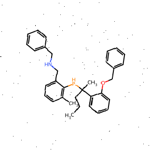 CCCC(C)(Pc1c(C)cccc1CNCc1ccccc1)c1ccccc1OCc1ccccc1